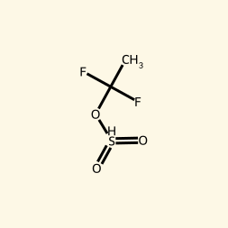 CC(F)(F)O[SH](=O)=O